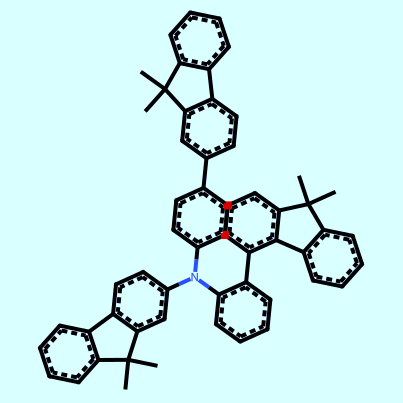 CC1(C)c2ccccc2-c2ccc(-c3ccc(N(c4ccc5c(c4)C(C)(C)c4ccccc4-5)c4ccccc4-c4cccc5c4-c4ccccc4C5(C)C)cc3)cc21